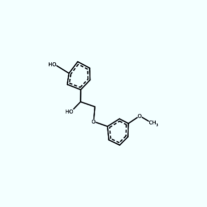 COc1cccc(OCC(O)c2cccc(O)c2)c1